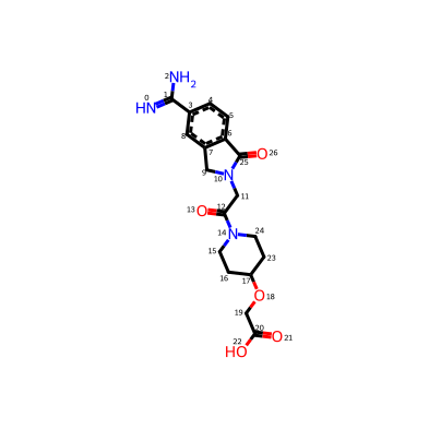 N=C(N)c1ccc2c(c1)CN(CC(=O)N1CCC(OCC(=O)O)CC1)C2=O